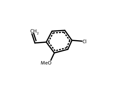 C=Cc1ccc(Cl)cc1OC